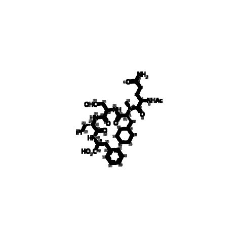 CC(=O)NC(CCC(N)=O)C(=O)N(C)[C@@H](CC1CCCCC1)C(=O)NC(CC=O)C(=O)N[C@@H](CC(C)C)C(=O)NC(Cc1ccccc1)C(=O)O